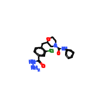 NNC(=O)c1ccc(CC2CN(C(=O)Nc3ccccc3)CCO2)c(Cl)c1